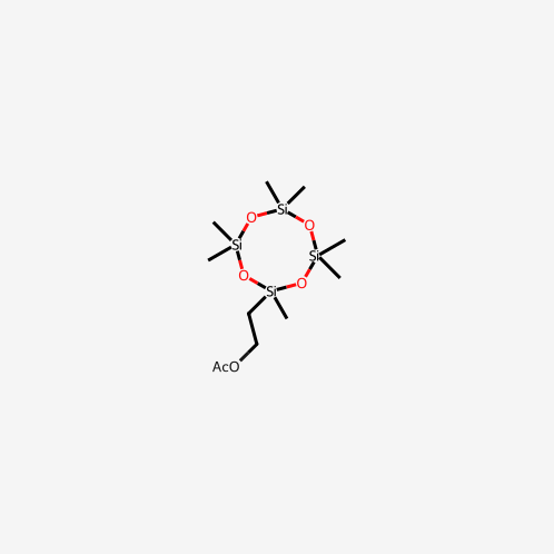 CC(=O)OCC[Si]1(C)O[Si](C)(C)O[Si](C)(C)O[Si](C)(C)O1